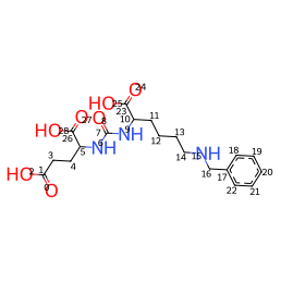 O=C(O)CCC(NC(=O)NC(CCCCNCc1ccccc1)C(=O)O)C(=O)O